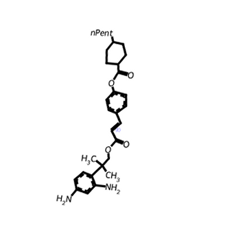 CCCCCC1CCC(C(=O)Oc2ccc(/C=C/C(=O)OCC(C)(C)c3ccc(N)cc3N)cc2)CC1